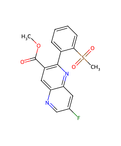 COC(=O)c1cc2ncc(F)cc2nc1-c1ccccc1S(C)(=O)=O